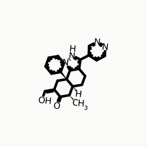 C[C@@H]1C(=O)C(=CO)C[C@]2(c3ccccc3)c3n[nH]c(-c4ccnnc4)c3CC[C@@H]12